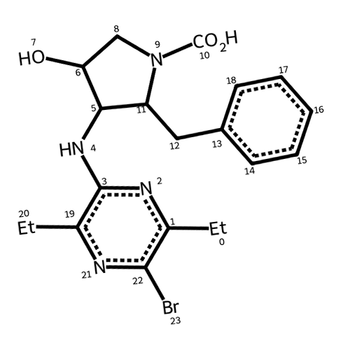 CCc1nc(NC2C(O)CN(C(=O)O)C2Cc2ccccc2)c(CC)nc1Br